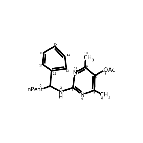 CCCCCC(Nc1nc(C)c(OC(C)=O)c(C)n1)c1ccccc1